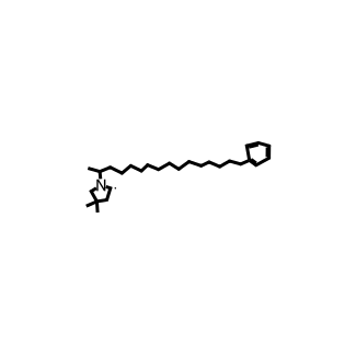 CC(CCCCCCCCCCCCCCc1ccccc1)N1[CH]CC(C)(C)C1